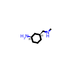 CNC[C@H]1CCC[C@@H](N)C1